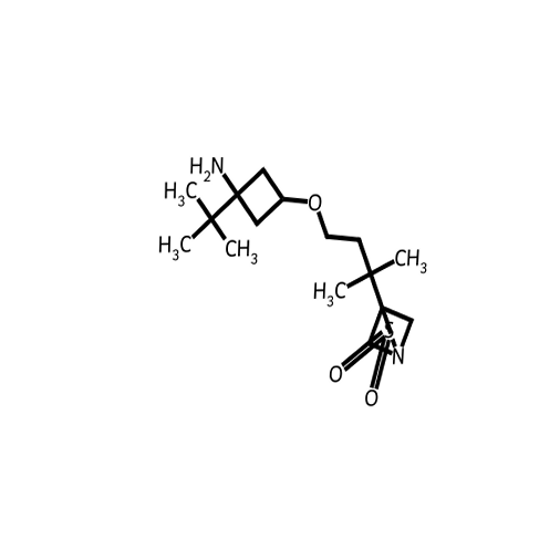 CC(C)(C)C1(N)CC(OCCC(C)(C)C23CN(C2)S(=O)(=O)C3)C1